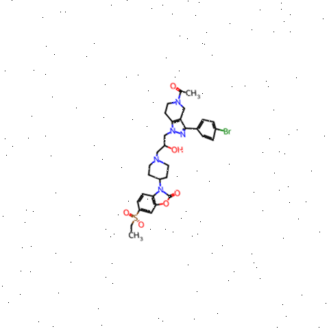 CCS(=O)(=O)c1ccc2c(c1)oc(=O)n2C1CCN(CC(O)Cn2nc(-c3ccc(Br)cc3)c3c2CCN(C(C)=O)C3)CC1